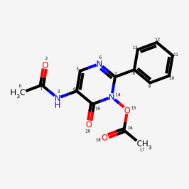 CC(=O)Nc1cnc(-c2ccccc2)n(OC(C)=O)c1=O